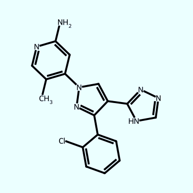 Cc1cnc(N)cc1-n1cc(-c2nnc[nH]2)c(-c2ccccc2Cl)n1